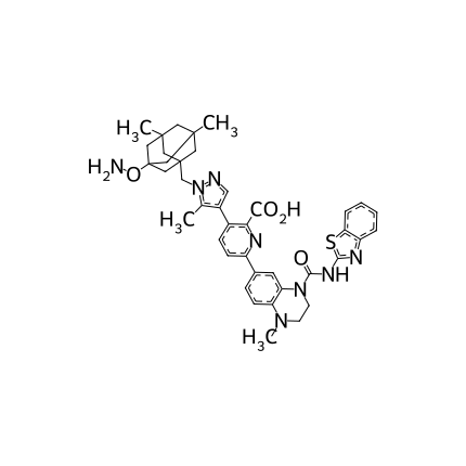 Cc1c(-c2ccc(-c3ccc4c(c3)N(C(=O)Nc3nc5ccccc5s3)CCN4C)nc2C(=O)O)cnn1CC12CC3(C)CC(C)(C1)CC(ON)(C3)C2